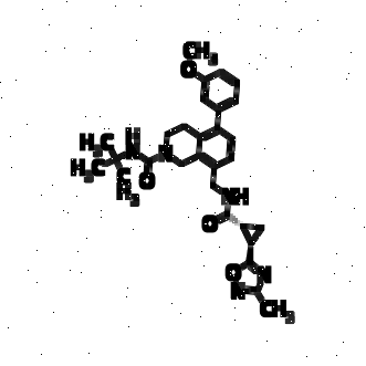 COc1cccc(-c2ccc(CNC(=O)[C@@H]3C[C@H]3c3nc(C)no3)c3c2CCN(C(=O)NC(C)(C)C)C3)c1